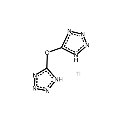 [Ti].n1n[nH]c(Oc2nnn[nH]2)n1